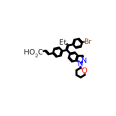 CCC(=C(c1ccc(C=CC(=O)O)cc1)c1ccc2c(cnn2C2CCCCO2)c1)c1ccc(Br)cc1